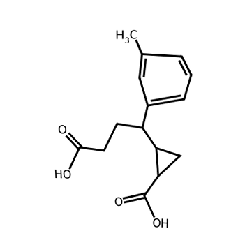 Cc1cccc(C(CCC(=O)O)C2CC2C(=O)O)c1